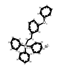 [Br-].c1ccc(Oc2cccc(CC[P+](c3ccccc3)(c3ccccc3)c3ccccc3)c2)cc1